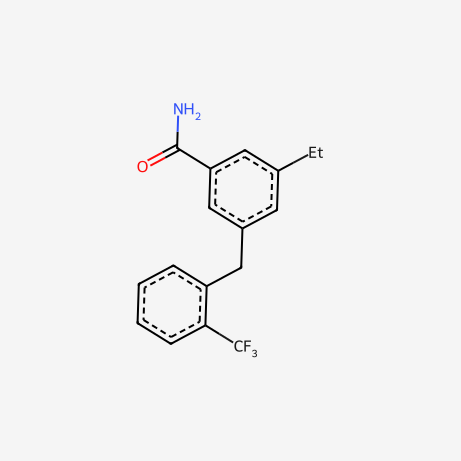 CCc1cc(Cc2ccccc2C(F)(F)F)cc(C(N)=O)c1